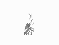 CCn1nc(-c2cccc(-c3ccc(C#N)cc3)c2)cc(NC(=O)Nc2c(Cl)cncc2Cl)c1=O